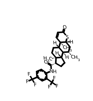 C[C@H]1C[C@H]2SC(=O)C=C[C@]2(C)[C@H]2CC[C@]3(C)[C@@H](C(=O)Nc4ccc(C(F)(F)F)cc4C(F)(F)F)CC[C@H]3[C@H]12